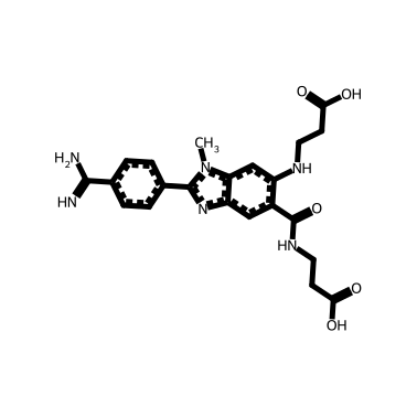 Cn1c(-c2ccc(C(=N)N)cc2)nc2cc(C(=O)NCCC(=O)O)c(NCCC(=O)O)cc21